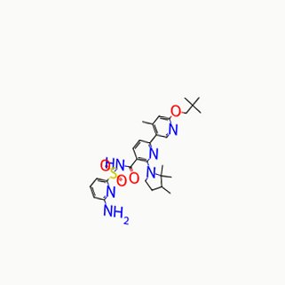 Cc1cc(OCC(C)(C)C)ncc1-c1ccc(C(=O)NS(=O)(=O)c2cccc(N)n2)c(N2CCC(C)C2(C)C)n1